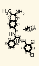 CC1Oc2ccc(CNC(CNCc3ccc(Cl)cc3Cl)c3ccccc3)cc2N=C1N.Cl.Cl.Cl